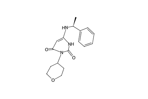 C[C@H](Nc1cc(=O)n(C2CCOCC2)c(=O)[nH]1)c1ccccc1